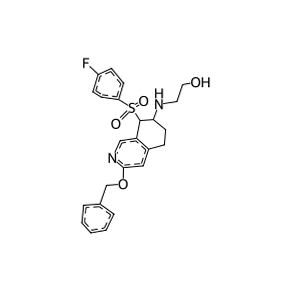 O=S(=O)(c1ccc(F)cc1)C1c2cnc(OCc3ccccc3)cc2CCC1NCCO